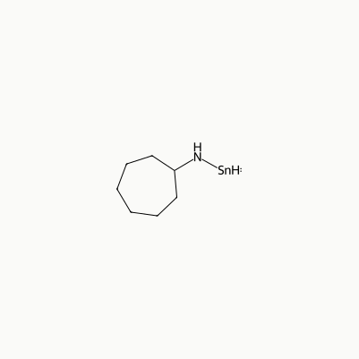 [SnH][NH]C1CCCCCC1